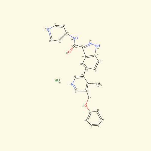 Cc1c(COc2ccccc2)cncc1-c1ccc2[nH]nc(C(=O)Nc3ccncc3)c2c1.Cl